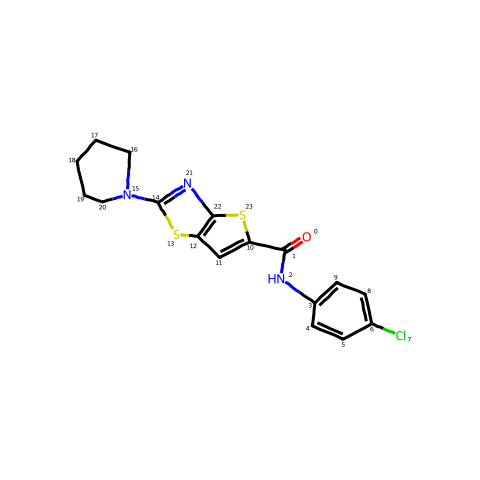 O=C(Nc1ccc(Cl)cc1)c1cc2sc(N3CCCCC3)nc2s1